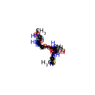 CCCS(=O)(=O)Nc1ccc(F)c(C(=O)c2c[nH]c3ncc(-c4cccc(OCCOCC(=O)NC(C(=O)N5C[C@H](O)C[C@H]5C(=O)NCc5ccc(-c6scnc6C)cc5)C(C)(C)C)c4)cc23)c1F